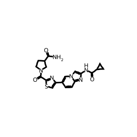 NC(=O)C1CCN(C(=O)c2nc(-c3ccc4nc(NC(=O)C5CC5)cn4c3)cs2)C1